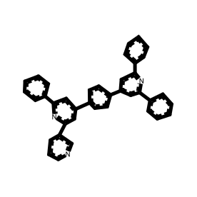 c1ccc(-c2cc(-c3ccc(-c4cc(-c5ccccc5)nc(-c5cccnc5)c4)cc3)cc(-c3ccccc3)n2)cc1